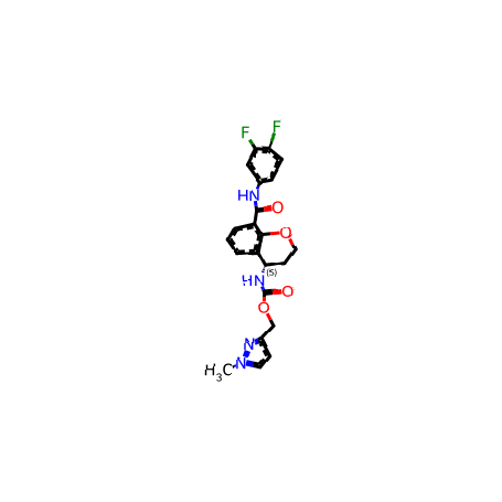 Cn1ccc(COC(=O)N[C@H]2CCOc3c(C(=O)Nc4ccc(F)c(F)c4)cccc32)n1